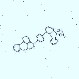 CC1(C)c2ccccc2-c2c(-c3ccc(-c4ccc5c6c(cccc46)-c4ccccc4S5)cc3)cccc21